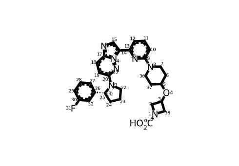 O=C(O)N1CC(OC2CCN(c3cccc(-c4cnc5ccc(N6CCC[C@@H]6c6cccc(F)c6)nn45)n3)CC2)C1